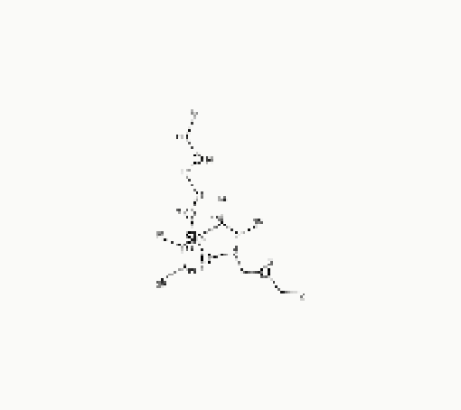 CCOCCO[Si](OCCOCC)(C(C)CC)C(C)CC